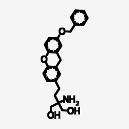 NC(CO)(CO)CCc1ccc2c(c1)Cc1cc(OCc3ccccc3)ccc1O2